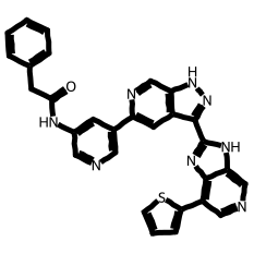 O=C(Cc1ccccc1)Nc1cncc(-c2cc3c(-c4nc5c(-c6cccs6)cncc5[nH]4)n[nH]c3cn2)c1